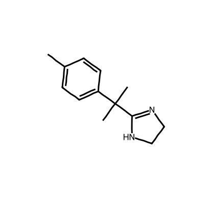 Cc1ccc(C(C)(C)C2=NCCN2)cc1